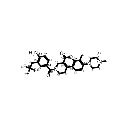 Cc1c(N2CCN(C)[C@@H](C)C2)ccc2c3c(c(=O)oc12)CN(C(=O)c1ccc(N)c(CC(F)(F)F)c1)CC3